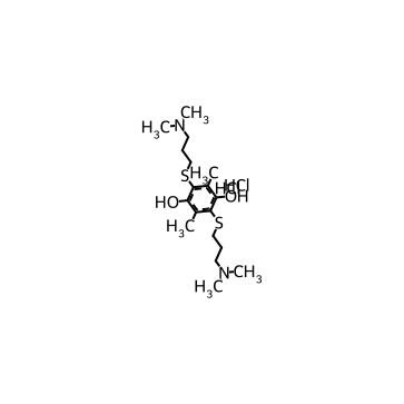 Cc1c(O)c(SCCCN(C)C)c(C)c(O)c1SCCCN(C)C.Cl.Cl